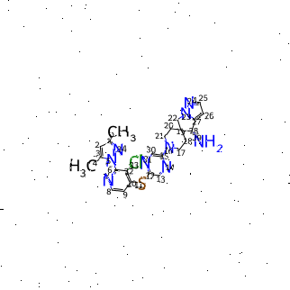 Cc1cc(C)n(-c2nccc(Sc3cnc(N4CCC5(CC4)Cn4nccc4C5N)cn3)c2Cl)n1